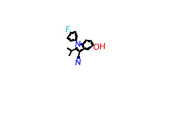 CC(C)c1c(C#N)c2cc(O)ccc2n1-c1ccc(F)cc1